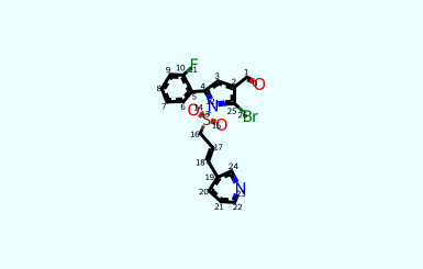 O=Cc1cc(-c2ccccc2F)n(S(=O)(=O)CC=Cc2cccnc2)c1Br